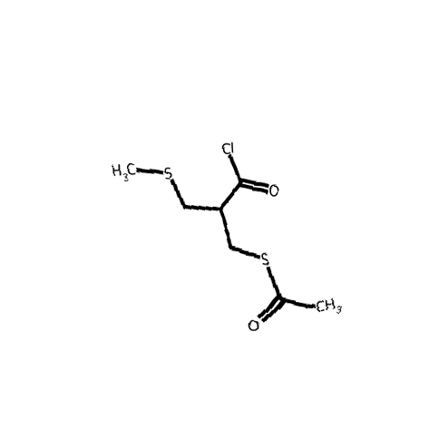 CSCC(CSC(C)=O)C(=O)Cl